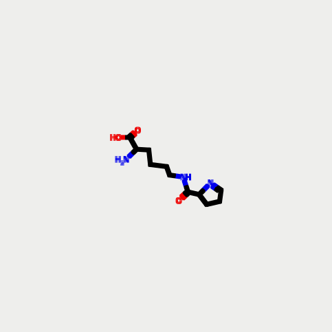 NC(CCCCNC(=O)C1CCC=N1)C(=O)O